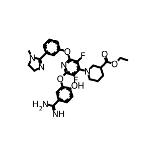 CCOC(=O)C1CCCN(c2c(F)c(Oc3cccc(C4=NCCN4C)c3)nc(Oc3cc(C(=N)N)ccc3O)c2F)C1